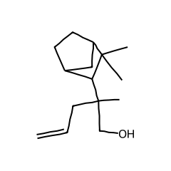 C=CCC(C)(CO)C1C2CCC(C2)C1(C)C